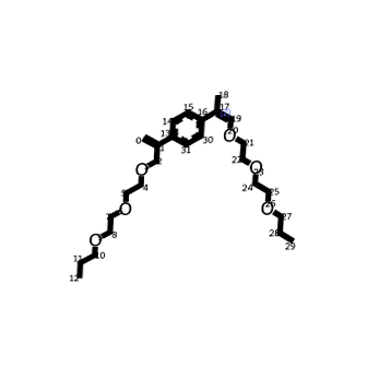 C=C(COCCOCCOCCC)c1ccc(/C(C)=C\OCCOCCOCCC)cc1